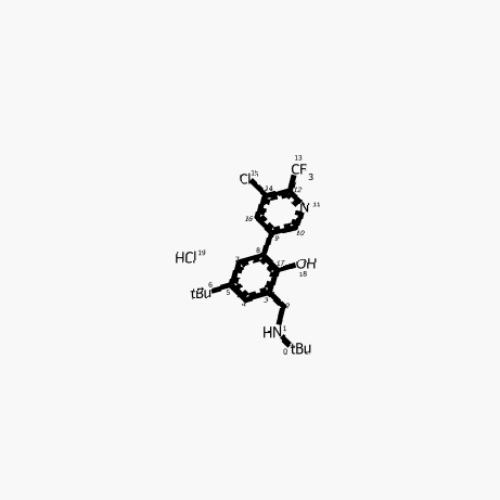 CC(C)(C)NCc1cc(C(C)(C)C)cc(-c2cnc(C(F)(F)F)c(Cl)c2)c1O.Cl